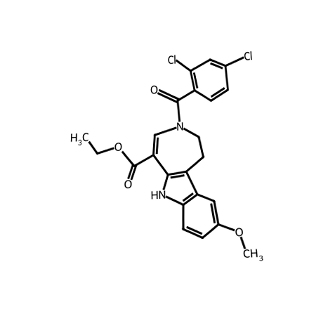 CCOC(=O)C1=CN(C(=O)c2ccc(Cl)cc2Cl)CCc2c1[nH]c1ccc(OC)cc21